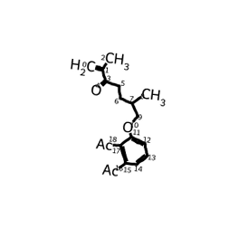 C=C(C)C(=O)CCC(C)COc1cccc(C(C)=O)c1C(C)=O